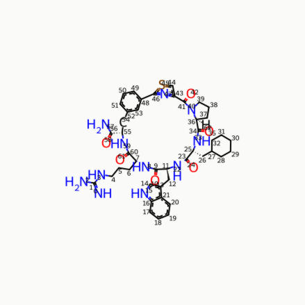 N=C(N)NCCCC1NC(=O)[C@H](Cc2c[nH]c3ccccc23)NC(=O)[C@@H](CC2CCCCC2)NC(=O)[C@@H]2CCCN2C(=O)c2csc(n2)-c2cccc(c2)C[C@@H](C(N)=O)NC1=O